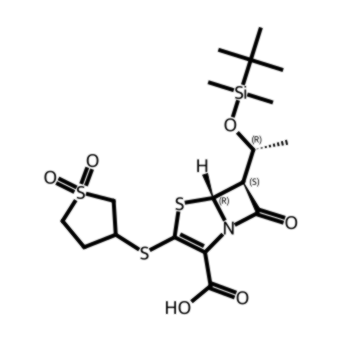 C[C@@H](O[Si](C)(C)C(C)(C)C)[C@H]1C(=O)N2C(C(=O)O)=C(SC3CCS(=O)(=O)C3)S[C@H]12